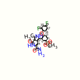 Cc1[nH]c(-c2cc(S(C)(=O)=O)ccc2Oc2ccc(F)cc2F)c2cc(C(N)=O)[nH]c(=O)c12